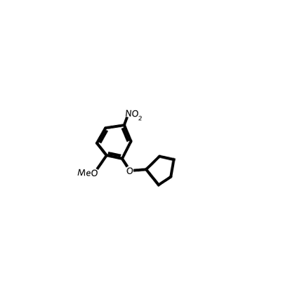 COc1ccc([N+](=O)[O-])cc1OC1CCCC1